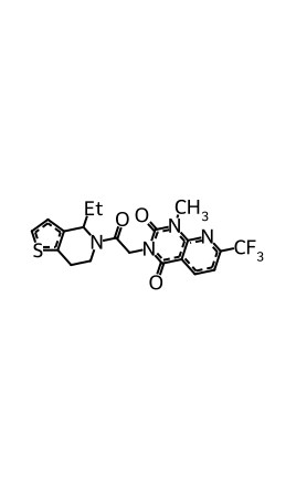 CCC1c2ccsc2CCN1C(=O)Cn1c(=O)c2ccc(C(F)(F)F)nc2n(C)c1=O